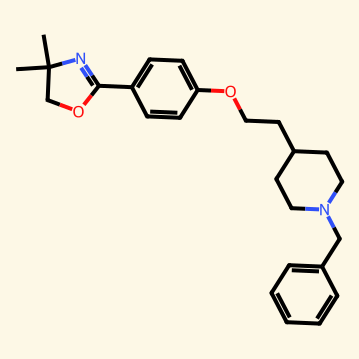 CC1(C)COC(c2ccc(OCCC3CCN(Cc4ccccc4)CC3)cc2)=N1